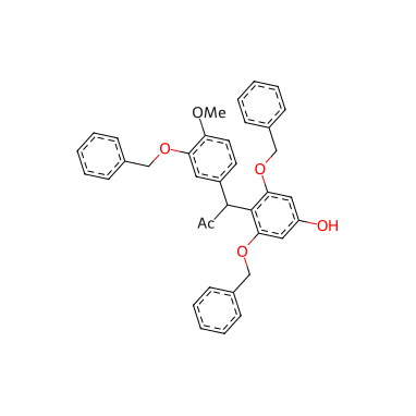 COc1ccc(C(C(C)=O)c2c(OCc3ccccc3)cc(O)cc2OCc2ccccc2)cc1OCc1ccccc1